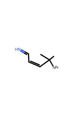 CCCC(C)(C)/C=C\C=N